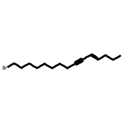 CCCC=CC#CCCCCCCCCBr